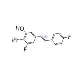 CC(C)c1c(O)cc(/C=C/c2ccc(F)cc2)cc1F